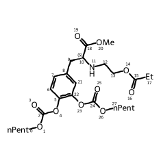 CCCCCOC(=O)Oc1ccc(C[C@H](NCCOC(=O)CC)C(=O)OC)cc1OC(=O)OCCCCC